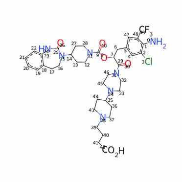 Nc1c(Cl)cc(CC(OC(=O)N2CCC(N3CCc4ccccc4NC3=O)CC2)C(=O)N2CCN(C3CCN(CCCC(=O)O)CC3)CC2)cc1C(F)(F)F